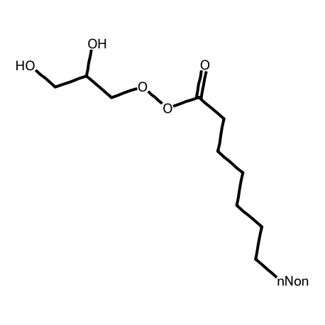 CCCCCCCCCCCCCCCC(=O)OOCC(O)CO